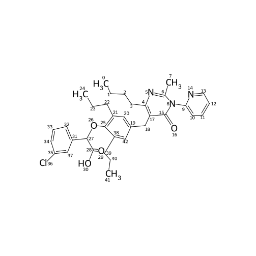 CCCCc1nc(C)n(-c2ccccn2)c(=O)c1Cc1cc(CCC)c(OC(C(=O)O)c2cccc(Cl)c2)c(CCC)c1